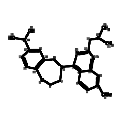 COc1ccc2c(N3CCOc4ccc(B(O)O)cc4C3)nc(CN(C)C)nc2c1